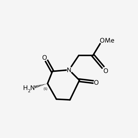 COC(=O)CN1C(=O)CC[C@H](N)C1=O